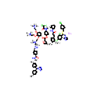 CC[N+](CC)(CC)CCOc1cccc(OCC[N+](CC)(CC)CC)c1OCC[N+](CC)(CC)CC.CN(C(=O)C(Cl)Cl)c1ccc(OC(=O)c2ccco2)cc1.CNNCc1ccc(C(=O)NC(C)C)cc1.COc1ccc(/C=C/C(=O)Nc2ccccc2C(=O)O)cc1OC.Clc1ccc(CSC(Cn2ccnc2)c2ccc(Cl)cc2Cl)cc1.N#Cc1ccc(C(c2ccc(C#N)cc2)n2cncn2)cc1.[I-].[I-].[I-]